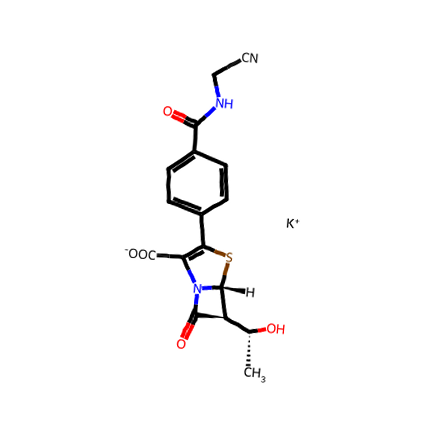 C[C@@H](O)[C@H]1C(=O)N2C(C(=O)[O-])=C(c3ccc(C(=O)NCC#N)cc3)S[C@H]12.[K+]